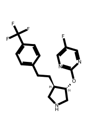 Fc1cnc(O[C@@H]2CNC[C@H]2CCc2ccc(C(F)(F)F)cc2)nc1